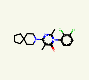 Cc1c(N2CCC3(CCCC3)CC2)nc(C)n(-c2cccc(Cl)c2Cl)c1=O